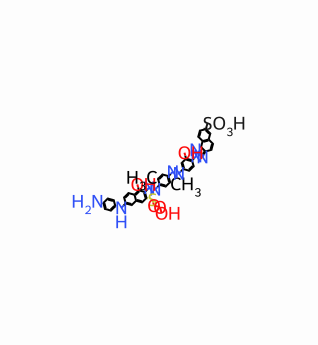 Cc1cc(N=Nc2c(SOOO)cc3cc(Nc4ccc(N)cc4)ccc3c2O)c(C)cc1N=Nc1ccc(-n2nc3ccc4cc(S(=O)(=O)O)ccc4c3n2)c(O)c1